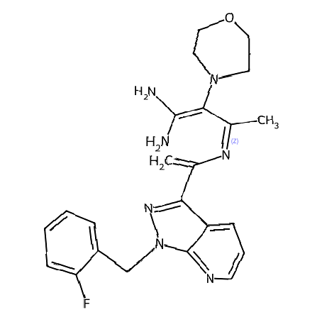 C=C(/N=C(/C)C(=C(N)N)N1CCOCC1)c1nn(Cc2ccccc2F)c2ncccc12